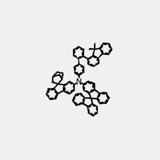 CC1(C)c2ccccc2-c2cccc(-c3ccccc3-c3ccc(N(c4ccc5c(c4)C4(c6ccccc6-c6ccccc64)c4ccccc4-5)c4ccc5c(c4)C4(CC6CCC4C6)c4ccccc4-5)cc3)c21